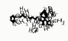 COC(=O)C1=C(C)NC(C(F)(F)F)=C(C(=O)OC)C1c1cc([N+](=O)[O-])ccc1OCCCCNCC(O)COc1ccccc1C.Cl